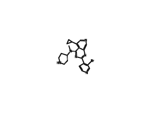 CN(c1nc(-c2ccncc2Br)nc2cncc(C3CC3)c12)C1CCNCC1